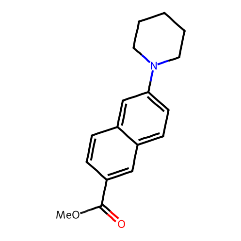 COC(=O)c1ccc2cc(N3CCCCC3)ccc2c1